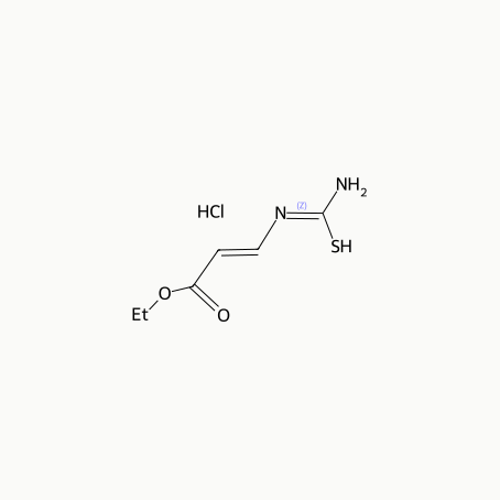 CCOC(=O)C=C/N=C(/N)S.Cl